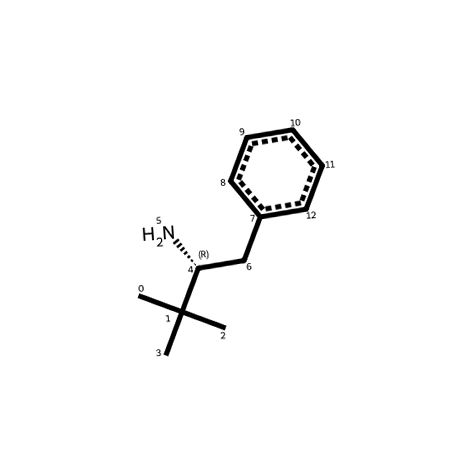 CC(C)(C)[C@H](N)Cc1ccccc1